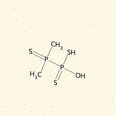 CP(C)(=S)P(O)(=S)S